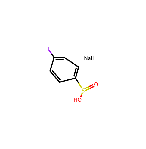 O=S(O)c1ccc(I)cc1.[NaH]